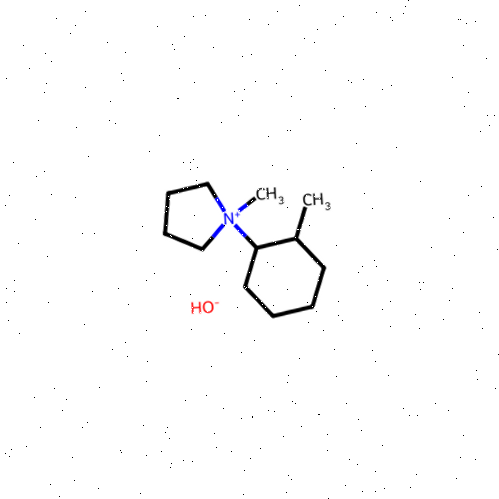 CC1CCCCC1[N+]1(C)CCCC1.[OH-]